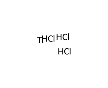 Cl.Cl.Cl.[Ti]